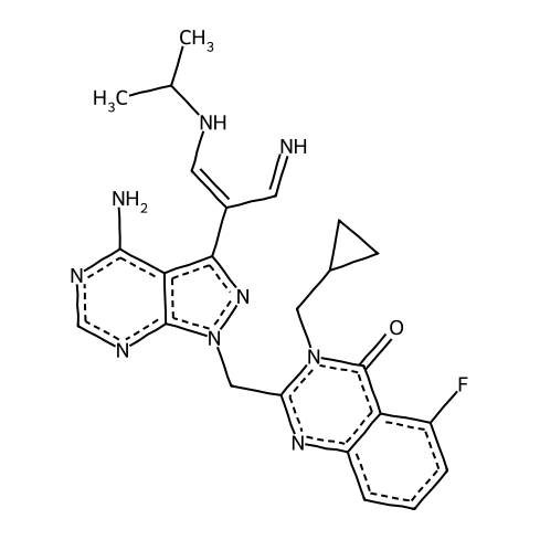 CC(C)N/C=C(\C=N)c1nn(Cc2nc3cccc(F)c3c(=O)n2CC2CC2)c2ncnc(N)c12